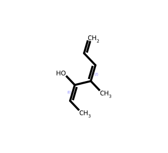 C=C/C=C(C)\C(O)=C/C